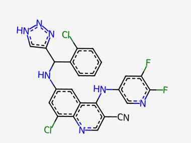 N#Cc1cnc2c(Cl)cc(NC(c3c[nH]nn3)c3ccccc3Cl)cc2c1Nc1cnc(F)c(F)c1